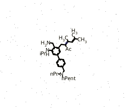 CCCCCN(CCC)Cc1ccc(-c2cc(C/C(C(C)=O)=C(\C)C=C(C)C)c(CN)c(NC(C)C)c2)cc1